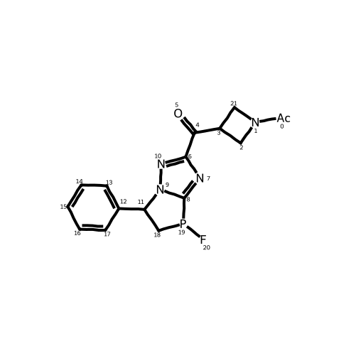 CC(=O)N1CC(C(=O)c2nc3n(n2)C(c2ccccc2)CP3F)C1